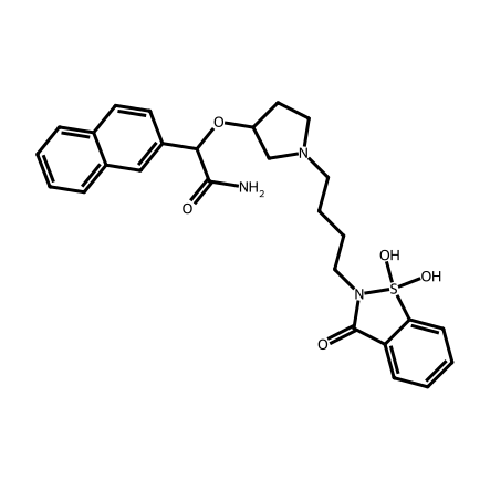 NC(=O)C(OC1CCN(CCCCN2C(=O)c3ccccc3S2(O)O)C1)c1ccc2ccccc2c1